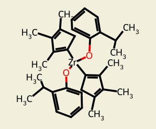 CC1=C(C)C(C)=[C]([Zr]([O]c2ccccc2C(C)C)([O]c2ccccc2C(C)C)[C]2=C(C)C(C)=C(C)C2)C1